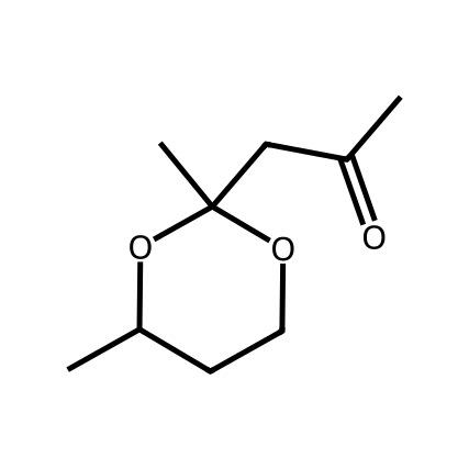 CC(=O)CC1(C)OCCC(C)O1